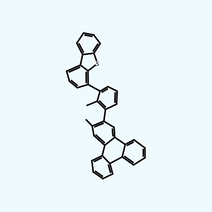 Cc1cc2c3ccccc3c3ccccc3c2cc1-c1cccc(-c2cccc3c2sc2ccccc23)c1C